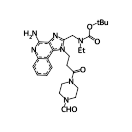 CCN(Cc1nc2c(N)nc3ccccc3c2n1CCC(=O)N1CCN(C=O)CC1)C(=O)OC(C)(C)C